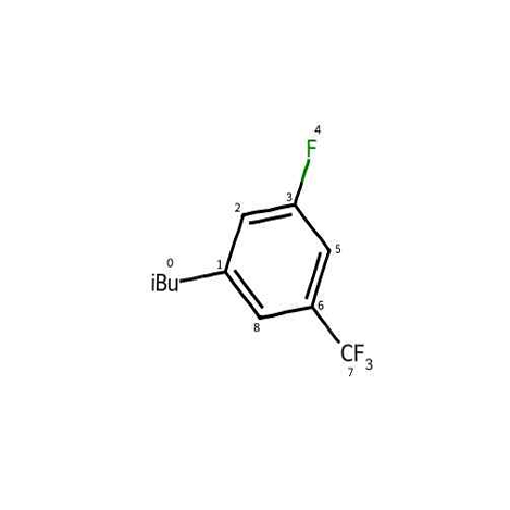 CCC(C)c1cc(F)cc(C(F)(F)F)c1